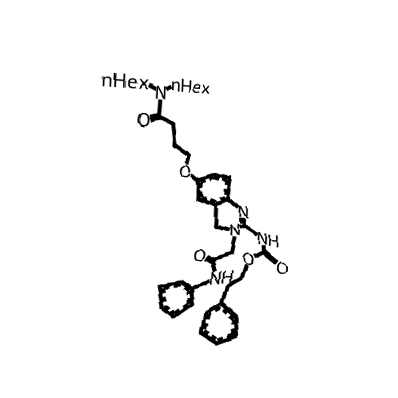 CCCCCCN(CCCCCC)C(=O)CCCOc1ccc2c(c1)CN(CC(=O)Nc1ccccc1)C(NC(=O)OCCc1ccccc1)=N2